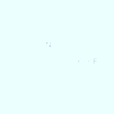 CCOC(=O)Cc1c(C)n(Cc2ccccc2)c2ccc(-c3ccccc3)cc12